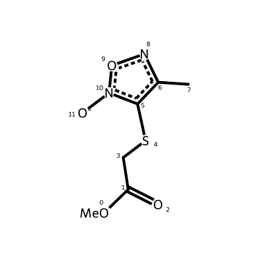 COC(=O)CSc1c(C)no[n+]1[O-]